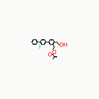 C=C(C)C(=O)OCCc1cc(-c2ccc(-c3ccccc3)c(F)c2)ccc1CCO